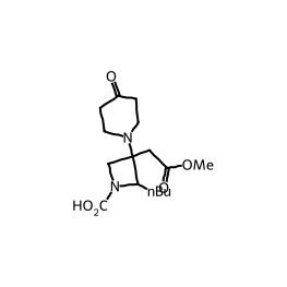 CCCCC1N(C(=O)O)CC1(CC(=O)OC)N1CCC(=O)CC1